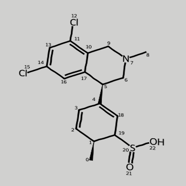 C[C@H]1C=CC([C@@H]2CN(C)Cc3c(Cl)cc(Cl)cc32)=CC1S(=O)O